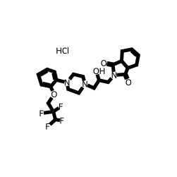 Cl.O=C1C2CC=CCC2C(=O)N1CC(O)CN1CCN(c2ccccc2OCC(F)(F)C(F)F)CC1